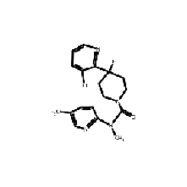 CN(C(=O)N1CCC(F)(c2ncccc2Cl)CC1)c1ccc(C(F)(F)F)cn1